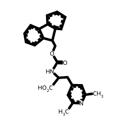 Cc1cc(CC(NC(=O)OCC2c3ccccc3-c3ccccc32)C(=O)O)cc(C)n1